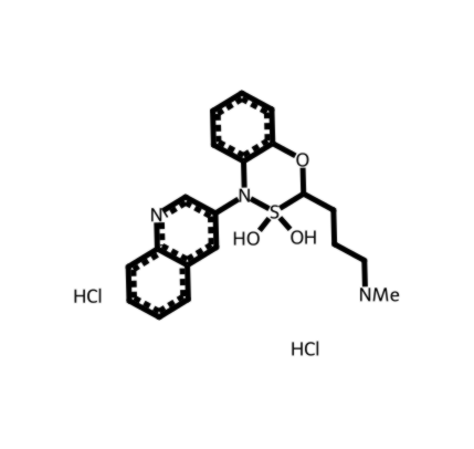 CNCCCC1Oc2ccccc2N(c2cnc3ccccc3c2)S1(O)O.Cl.Cl